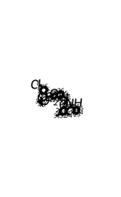 CCOC(=O)C1(OC(c2ccc(Cl)cc2)c2cc3cc(CC(=O)N[C@@H](c4ccccc4)c4ccc(C)cc4C)ccc3o2)CC1